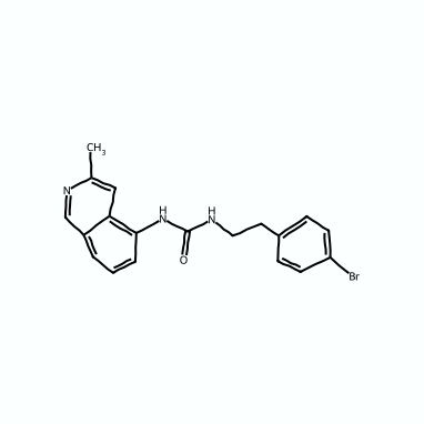 Cc1cc2c(NC(=O)NCCc3ccc(Br)cc3)cccc2cn1